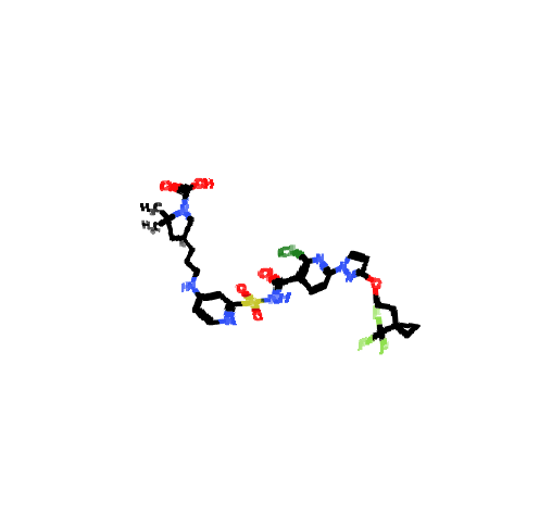 CC1(C)C[C@H](CCCNc2ccnc(S(=O)(=O)NC(=O)c3ccc(-n4ccc(OCCC5(C(F)(F)F)CC5)n4)nc3Cl)c2)CN1C(=O)O